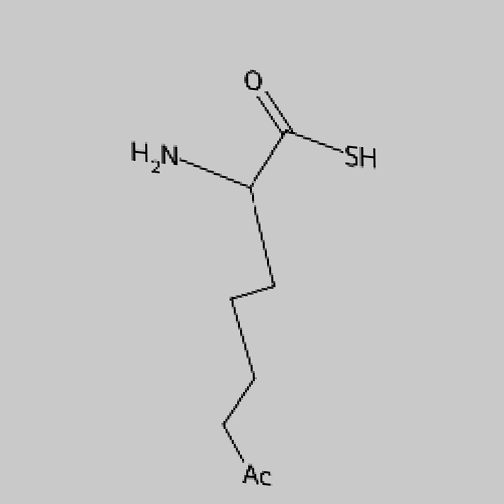 CC(=O)CCCCC(N)C(=O)S